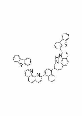 C1=Cc2ccc3ccc(-c4cccc5c4sc4ccccc45)nc3c2NC=C1c1ccc(-c2ccc3ccc4ccc(-c5cccc6c5sc5ccccc56)nc4c3n2)c2ccccc12